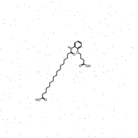 CN(C(=O)CCCCCCCCCCCCCCCC(=O)O)c1ccccc1OCCCC(=O)O